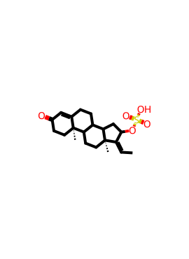 CC=C1C(OS(=O)(=O)O)CC2C3CCC4=CC(=O)CC[C@]4(C)C3CC[C@]12C